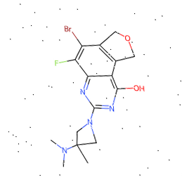 CN(C)C1(C)CN(c2nc(O)c3c4c(c(Br)c(F)c3n2)COC4)C1